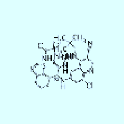 CC(C)(C)CNc1c(C#N)cnc2c(Cl)cc(N[C@H](C3=CN(C4(C(N)=O)CC4)NN3)c3cccc4ncsc34)cc12